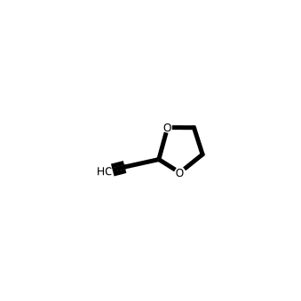 C#CC1OCCO1